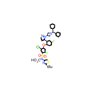 CC(C)(C)c1nc(N(C(=O)O)S(=O)(=O)c2cc(Cl)c(Oc3ccc(F)cc3-c3ccnn3C3CN(C(c4ccccc4)c4ccccc4)C3)cc2F)cs1